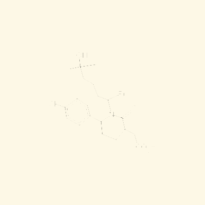 CCC(CCCC(C)(C)O)N1C(=O)C(CC(=O)O)CCC1c1ccc(Cl)cc1